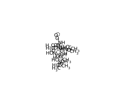 CCC(C)(C)ON(C=O)[C@@H]1[C@@H](O)[C@@H](O[C@@H]2[C@H](O)[C@H](O[C@H]3O[C@H](CNCCOC4CCCCO4)CC[C@H]3NC(=O)OC(C)(C)C)[C@@H](NC(=O)OC(C)(C)C)C[C@H]2NC(=O)O)OC[C@]1(C)O